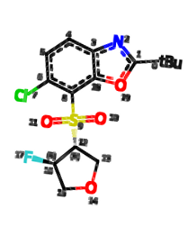 CC(C)(C)c1nc2ccc(Cl)c(S(=O)(=O)[C@@H]3COC[C@H]3F)c2o1